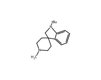 CN1CCC2(CC1)CN(C(C)(C)C)c1ccccc12